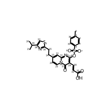 Cc1ccc(S(=O)(=O)Oc2nc3cc(CCc4nc(C(C)C)cs4)ccn3c(=O)c2C=CC(=O)O)cc1